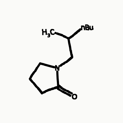 CCCCC(C)CN1CCCC1=O